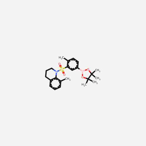 Cc1ccc(B2OC(C)(C)C(C)(C)O2)cc1S(=O)(=O)N1CCCc2cccc(C)c21